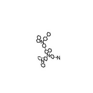 N#Cc1ccc(N(c2ccc3c(c2)C2C=CC=CC2N3c2ccccc2)c2ccc(-c3ccc(N(c4ccc(-c5ccccc5)cc4)c4cccc5ccccc45)cc3)c3ccccc23)cc1